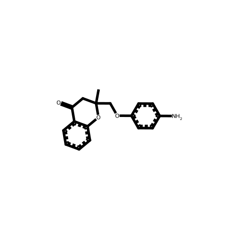 CC1(COc2ccc(N)cc2)CC(=O)c2ccccc2O1